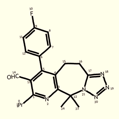 CC(C)c1nc2c(c(-c3ccc(F)cc3)c1C=O)CCc1nnnn1C2(C)C